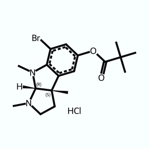 CN1CC[C@@]2(C)c3cc(OC(=O)C(C)(C)C)cc(Br)c3N(C)[C@@H]12.Cl